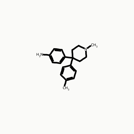 Cc1ccc(C2(c3ccc(N)cc3)CCN(C)CC2)cc1